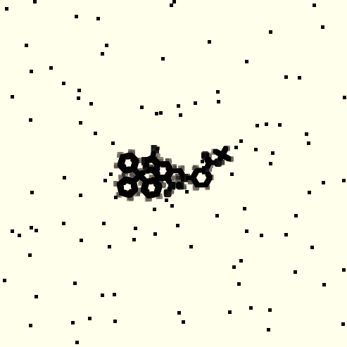 CC(C)(C)OC(=O)N1CCCC(NCc2cc3c(Br)nn(C(c4ccccc4)(c4ccccc4)c4ccccc4)c3cc2[N+](=O)[O-])C1